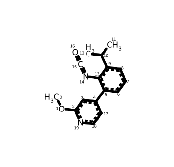 COc1cc(-c2cccc(C(C)C)c2N=C=O)ccn1